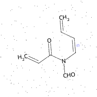 C=C/C=C\N(C=O)C(=O)C=C